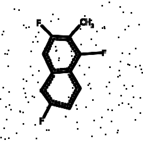 Cc1c(F)cc2cc(F)ccc2c1F